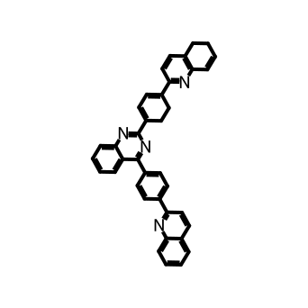 C1=Cc2nc(C3=CC=C(c4nc(-c5ccc(-c6ccc7ccccc7n6)cc5)c5ccccc5n4)CC3)ccc2CC1